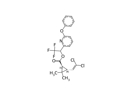 CC1(C)[C@@H](C=C(Cl)Cl)[C@@H]1C(=O)OC(c1cccc(Oc2ccccc2)n1)C(F)(F)F